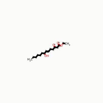 CCCCCCC(O)C=CCCC(=O)CC(=O)OCC